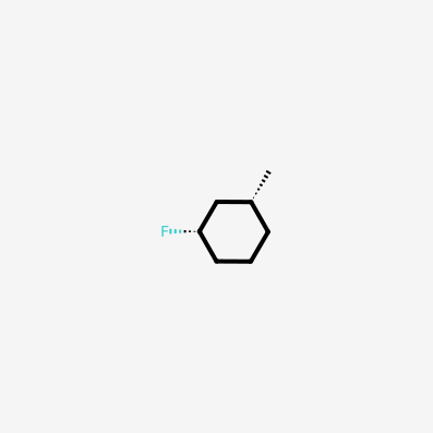 C[C@@H]1CCC[C@H](F)C1